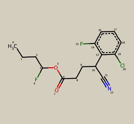 CCCC(F)OC(=O)CCC(C#N)c1c(F)cccc1Cl